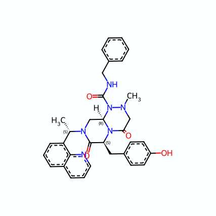 C[C@@H](c1cccc2cccnc12)N1C[C@@H]2N(C(=O)CN(C)N2C(=O)NCc2ccccc2)[C@@H](Cc2ccc(O)cc2)C1=O